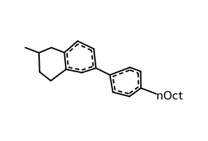 CCCCCCCCc1ccc(-c2ccc3c(c2)CCC(C)C3)cc1